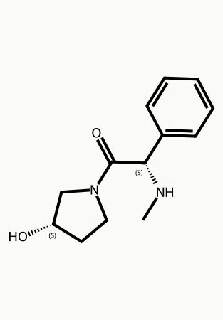 CN[C@H](C(=O)N1CC[C@H](O)C1)c1ccccc1